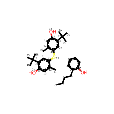 CCCCc1ccccc1O.Cc1cc(O)c(C(C)(C)C)cc1Sc1cc(C(C)(C)C)c(O)cc1C